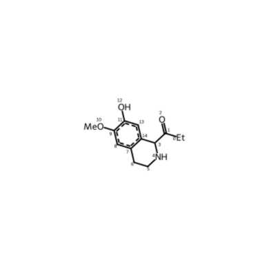 CCC(=O)C1NCCc2cc(OC)c(O)cc21